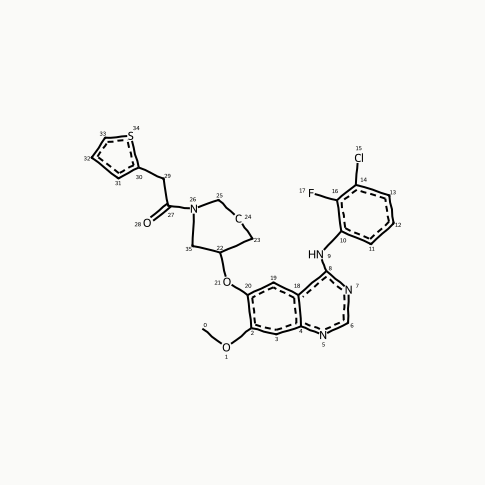 COc1cc2ncnc(Nc3cccc(Cl)c3F)c2cc1OC1CCCN(C(=O)Cc2cccs2)C1